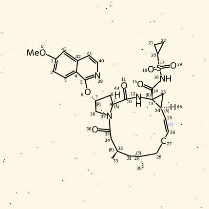 COc1ccc2c(O[C@@H]3C[C@H]4C(=O)N[C@]5(C(=O)NS(=O)(=O)C6CC6)C[C@H]5/C=C\CC[C@H](C)C[C@@H](C)CC(=O)N4C3)nccc2c1